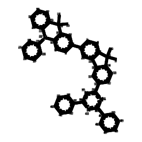 CC1(C)c2ccc(-c3ccc4c(c3)C(C)(C)c3ccccc3N4c3ccccc3)cc2-c2cc(-c3nc(-c4ccccc4)nc(-c4ccccc4)n3)ccc21